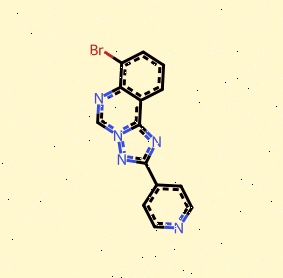 Brc1cccc2c1ncn1nc(-c3ccncc3)nc21